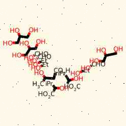 CC(C)C(O)C(=O)O.CC(O)CC(=O)O.CCCC(O)C(=O)O.CCO.CCO.CCO.O=CO.O=CO.O=CO.OCC(O)CO.OCC(O)CO.OCC(O)CO